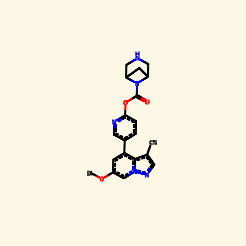 CCOc1cc(-c2ccc(OC(=O)N3C4CNCC3C4)nc2)c2c(C#N)cnn2c1